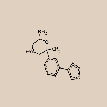 CC1(c2cccc(-c3ccsc3)c2)CNCC(N)O1